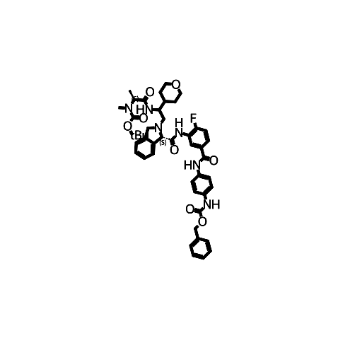 C[C@@H](C(=O)NC(CN1Cc2ccccc2[C@H]1C(=O)Nc1cc(C(=O)Nc2ccc(NC(=O)OCc3ccccc3)cc2)ccc1F)C1CCOCC1)N(C)C(=O)OC(C)(C)C